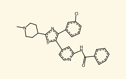 CN1CCC(c2nc(-c3cccc(Cl)c3)c(-c3ccnc(NC(=O)c4ccccc4)c3)s2)CC1